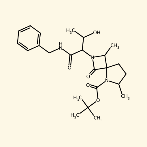 CC(O)C(C(=O)NCc1ccccc1)N1C(=O)C2(CCC(C)N2C(=O)OC(C)(C)C)C1C